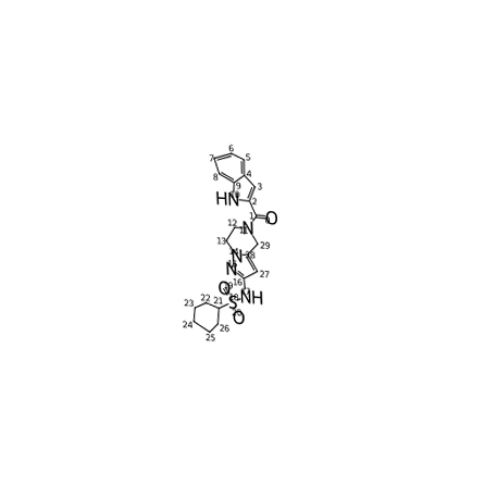 O=C(c1cc2ccccc2[nH]1)N1CCn2nc(NS(=O)(=O)C3CCCCC3)cc2C1